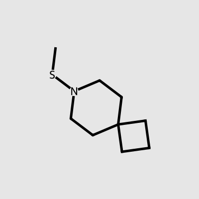 CSN1CCC2(CCC2)CC1